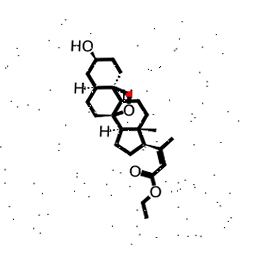 CCOC(=O)/C=C(/C)[C@H]1CC[C@@H]2[C@]1(C)CC[C@@H]1[C@@]34CC[C@H](O)C[C@@H]3CC[C@@]21OC4